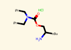 CCCCC(N)COC(=O)N(CC(C)C)CC(C)C.Cl